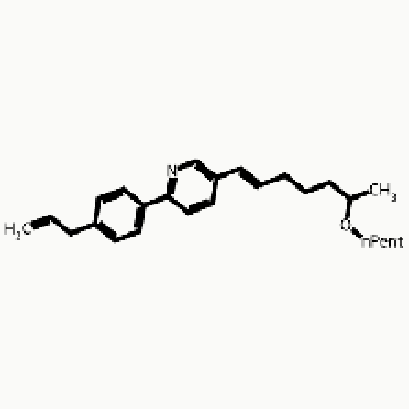 C=CCc1ccc(-c2ccc(C=CCCCC(C)OCCCCC)cn2)cc1